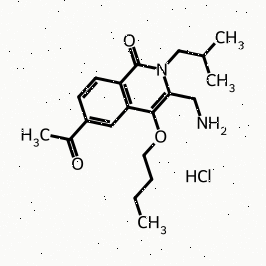 CCCCOc1c(CN)n(CC(C)C)c(=O)c2ccc(C(C)=O)cc12.Cl